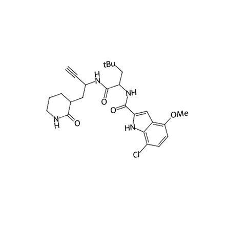 C#CC(CC1CCCNC1=O)NC(=O)C(CC(C)(C)C)NC(=O)c1cc2c(OC)ccc(Cl)c2[nH]1